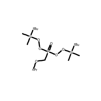 CCCOCP(=O)(OO[Si](C)(C)C(C)(C)C)OO[Si](C)(C)C(C)(C)C